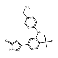 NCc1ccc(Nc2cc(-c3n[nH]c(=O)o3)ccc2C(F)(F)F)cc1